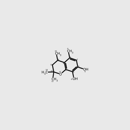 Cc1cc(O)c(O)c2c1C(C)CC(C)(C)O2